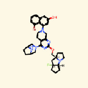 Oc1cc(N2CCc3c(nc(OC[C@@]45CCCN4[C@@H]4CCC[C@]4(F)C5)nc3N3CC4CCC(C3)N4)C2)c2c(Br)cccc2c1